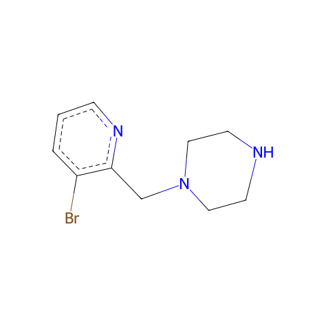 Brc1cccnc1CN1CCNCC1